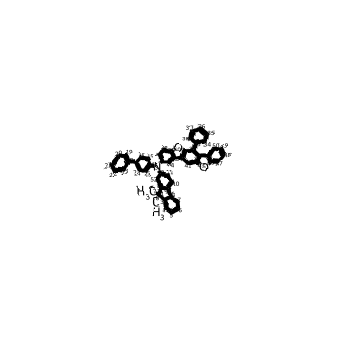 CC1(C)c2ccccc2-c2ccc(N(c3ccc(-c4ccccc4)cc3)c3ccc4oc5c(-c6ccccc6)c6c(cc5c4c3)oc3ccccc36)cc21